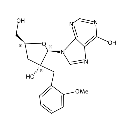 COc1ccccc1C[C@@]1(O)C[C@@H](CO)O[C@H]1n1cnc2c(O)ncnc21